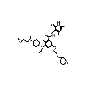 CCN(c1cc(OCCCN2CCOCC2)cc(C(=O)NCc2c(C)cc(C)[nH]c2=O)c1C)[C@H]1CC[C@H](N(C)CCOC)CC1